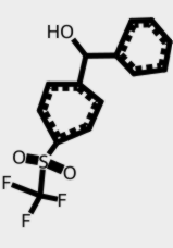 O=S(=O)(c1ccc(C(O)c2ccccc2)cc1)C(F)(F)F